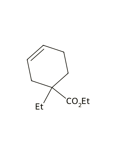 CCOC(=O)C1(CC)CC=CCC1